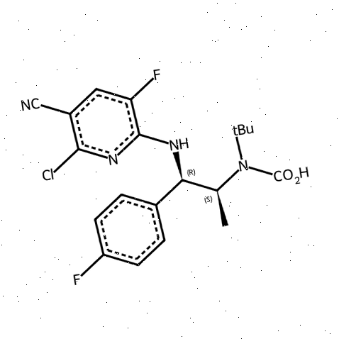 C[C@@H]([C@H](Nc1nc(Cl)c(C#N)cc1F)c1ccc(F)cc1)N(C(=O)O)C(C)(C)C